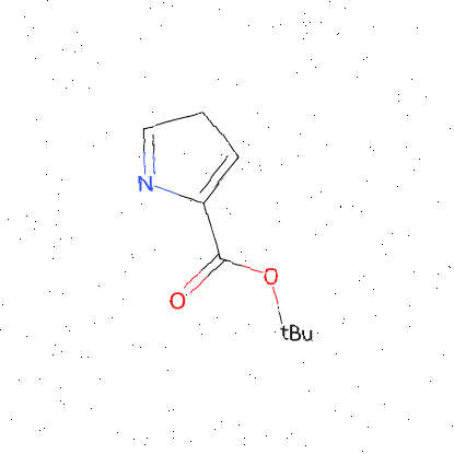 CC(C)(C)OC(=O)C1=CCC=N1